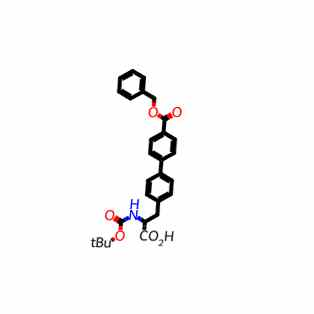 CC(C)(C)OC(=O)NC(Cc1ccc(-c2ccc(C(=O)OCc3ccccc3)cc2)cc1)C(=O)O